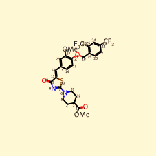 COC(=O)C1CCN(C2=NC(=O)C(=Cc3ccc(OCc4ccc(C(F)(F)F)cc4C(F)(F)F)c(OC)c3)S2)CC1